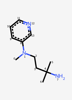 CN(CCC(C)(C)N)c1cccnc1